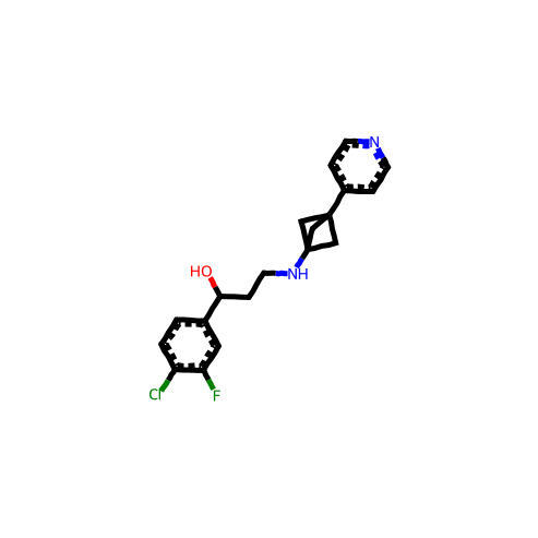 OC(CCNC12CC(c3ccncc3)(C1)C2)c1ccc(Cl)c(F)c1